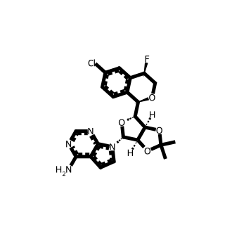 CC1(C)O[C@H]2[C@@H](O1)[C@H](n1ccc3c(N)ncnc31)O[C@@H]2[C@@H]1OC[C@H](F)c2cc(Cl)ccc21